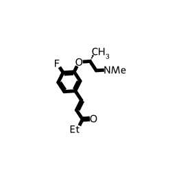 CCC(=O)/C=C/c1ccc(F)c(O[C@H](C)CNC)c1